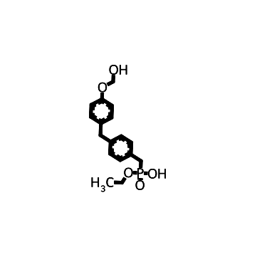 CCOP(=O)(O)Cc1ccc(Cc2ccc(OCO)cc2)cc1